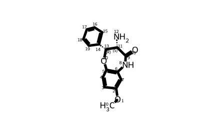 COc1ccc2c(c1)NC(=O)[C@@H](N)[C@@H](c1ccccc1)O2